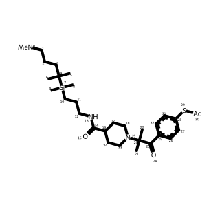 CNCCCC(C)(C)[Si](C)(C)CCCNC(=O)C1CCN(C(C)(C)C(=O)c2ccc(SC(C)=O)cc2)CC1